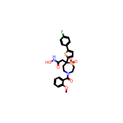 COc1ccccc1C(=O)N1CCC(CC(=O)NO)(c2ccc(-c3ccc(F)cc3)s2)S(=O)(=O)CC1